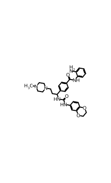 CN1CCN(CCC(NC(=O)Nc2ccc3c(c2)OCCO3)c2ccc(C(=O)Nc3ccccc3N)cc2)CC1